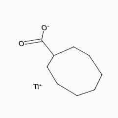 O=C([O-])C1CCCCCCC1.[Tl+]